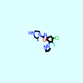 C[C@H]1CNCCN1c1nc2cc(Cl)c(F)c(-n3cccn3)c2o1